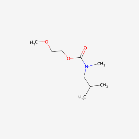 COCCOC(=O)N(C)CC(C)C